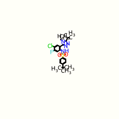 CCn1c(-c2cc(Cl)c(F)cc2NS(=O)(=O)c2ccc(C(C)(C)C)cc2)nnc1C(C)C